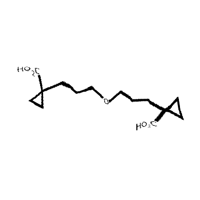 O=C(O)C1(CCCOCCCC2(C(=O)O)CC2)CC1